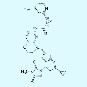 Cc1ccnc([C@H]2C[C@@H]2C(=O)Nc2ncc3c(n2)N(Cc2cn4cc(C5CC5)cc(N5CC(=O)N(C)C5=O)c4n2)CCO3)n1